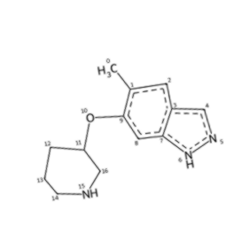 Cc1cc2cn[nH]c2cc1OC1CCCNC1